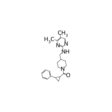 Cc1cnc(NCC2CCN(C(=O)C3CC3c3ccccc3)CC2)nc1C